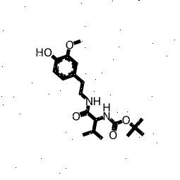 COc1cc(CCNC(=O)C(NC(=O)OC(C)(C)C)C(C)C)ccc1O